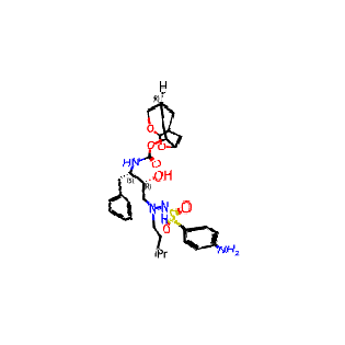 CC(C)CCN(C[C@@H](O)[C@H](Cc1ccccc1)NC(=O)OC1C2CC3C[C@@H]1COC3O2)NS(=O)(=O)c1ccc(N)cc1